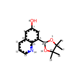 CC1(C)OB(c2cc(O)cc3cccnc23)OC1(C)C